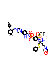 CC1(C)CCC(C23CC(C)(C2)C3)=C(CN2CCN(c3ccc(C(=O)NS(=O)(=O)c4ccc(N[C@H](CCCN5CCOCC5)CSc5ccccc5)c(S(=O)(=O)C(F)(F)F)c4)cc3)CC2)C1